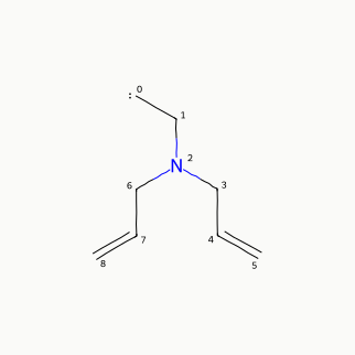 [CH]CN(CC=C)CC=C